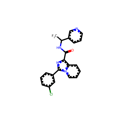 O=C(NC(c1cccnc1)C(F)(F)F)c1nc(-c2cccc(Cl)c2)n2ccccc12